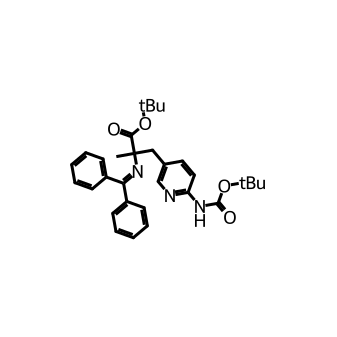 CC(C)(C)OC(=O)Nc1ccc(CC(C)(N=C(c2ccccc2)c2ccccc2)C(=O)OC(C)(C)C)cn1